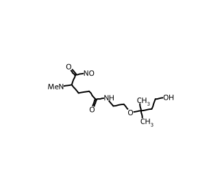 CNC(CCC(=O)NCCOC(C)(C)CCO)C(=O)N=O